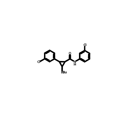 CCCCC1C(C(=O)Nc2cccc(Cl)c2)C1c1cccc(Cl)c1